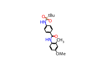 COc1ccc(NC(=O)c2ccc(NS(=O)(=O)C(C)(C)C)cc2)c(C)c1